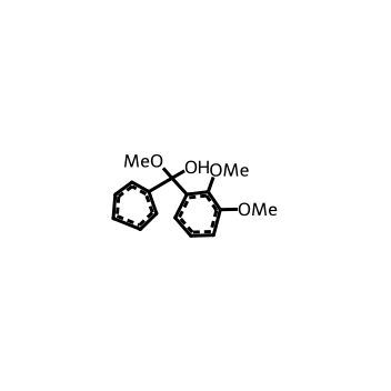 COc1cccc(C(O)(OC)c2ccccc2)c1OC